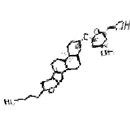 C[C@]12CCC3C(CC=C4C[C@@H](O[C@H]5C[C@@H](O)C[C@@H](CO)O5)CC[C@@]43C)C1CC1OC(CCCCO)CC12